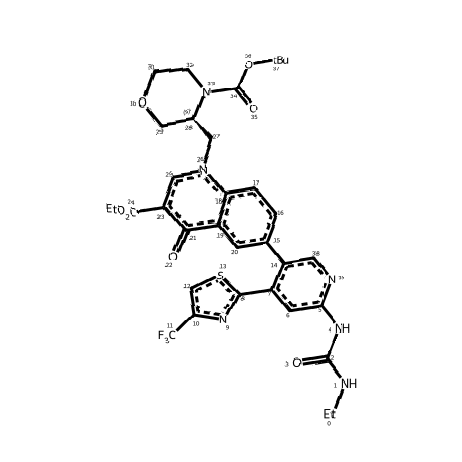 CCNC(=O)Nc1cc(-c2nc(C(F)(F)F)cs2)c(-c2ccc3c(c2)c(=O)c(C(=O)OCC)cn3C[C@H]2COCCN2C(=O)OC(C)(C)C)cn1